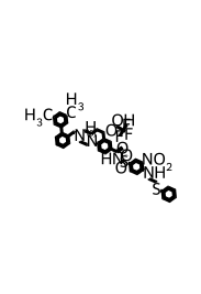 Cc1cc(C)cc(-c2ccccc2CN2CCN3c4ccc(C(=O)NS(=O)(=O)c5ccc(NCCSc6ccccc6)c([N+](=O)[O-])c5)cc4CC[C@H]3C2)c1.O=C(O)C(F)(F)F